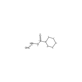 O=CNOC(=O)C1CCCCC1